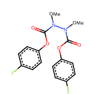 CON(C(=O)Oc1ccc(F)cc1)N(OC)C(=O)Oc1ccc(F)cc1